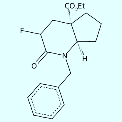 CCOC(=O)[C@]12CCC[C@H]1N(Cc1ccccc1)C(=O)C(F)C2